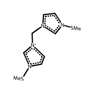 CSn1cc[n+](C[n+]2ccn(SC)c2)c1